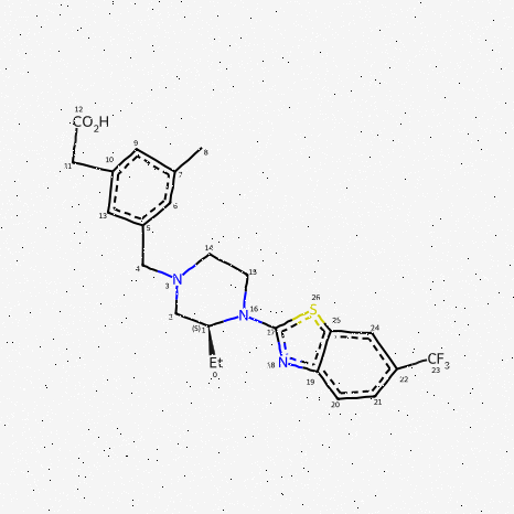 CC[C@H]1CN(Cc2cc(C)cc(CC(=O)O)c2)CCN1c1nc2ccc(C(F)(F)F)cc2s1